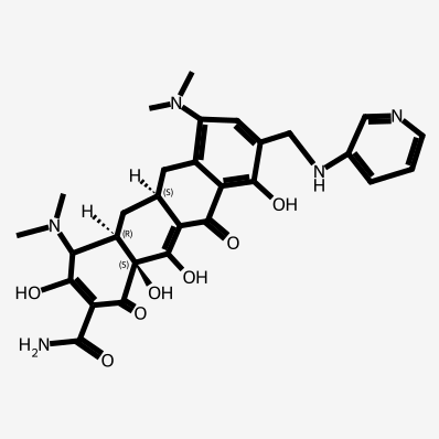 CN(C)c1cc(CNc2cccnc2)c(O)c2c1C[C@@H]1C[C@@H]3C(N(C)C)C(O)=C(C(N)=O)C(=O)[C@@]3(O)C(O)=C1C2=O